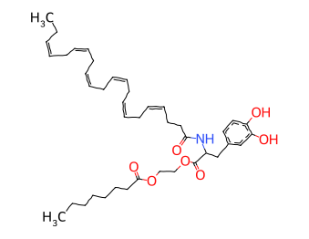 CC/C=C\C/C=C\C/C=C\C/C=C\C/C=C\C/C=C\CCC(=O)NC(Cc1ccc(O)c(O)c1)C(=O)OCCOC(=O)CCCCCCC